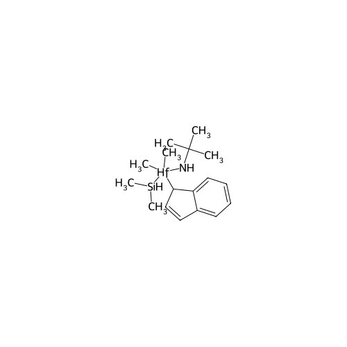 C[SiH](C)[Hf]([CH3])([CH3])([NH]C(C)(C)C)[CH]1C=Cc2ccccc21